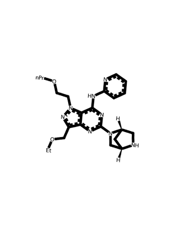 CCCOCCn1nc(COCC)c2nc(N3C[C@@H]4C[C@H]3CN4)nc(Nc3ccccn3)c21